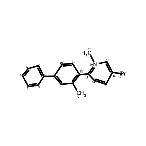 Cc1cc(-c2ccccc2)ccc1-c1ccc(C(C)C)c[n+]1C